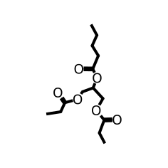 CCCCC(=O)OC(COC(=O)CC)COC(=O)CC